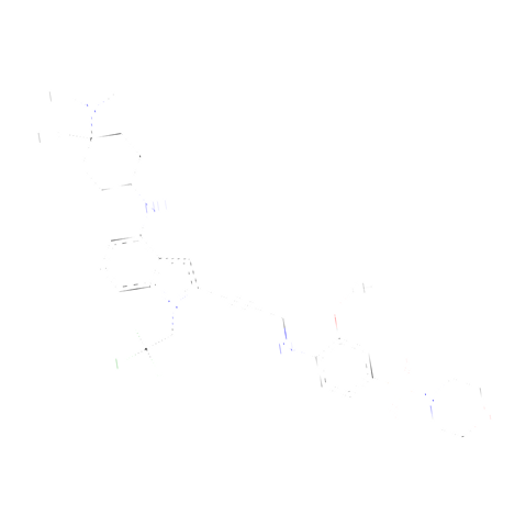 COc1cc(S(=O)(=O)N2CCOCC2)ccc1NCC#Cc1cc2c(NC3CCC(C)(N(C)C)CC3)cccc2n1CC(F)(F)F